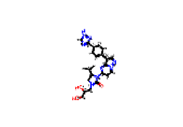 CC(C)C1CN(CC(O)CO)C(=O)N1c1ccn2ncc(-c3ccc(-c4nc[nH]n4)cc3)c2n1